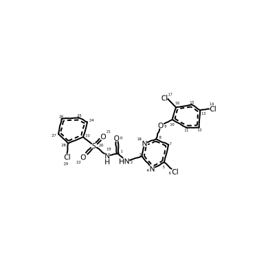 O=C(Nc1nc(Cl)cc(Oc2ccc(Cl)cc2Cl)n1)NS(=O)(=O)c1ccccc1Cl